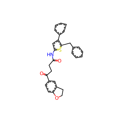 O=C(CCC(=O)c1ccc2c(c1)CCO2)Nc1cc(-c2ccccc2)c(Cc2ccccc2)s1